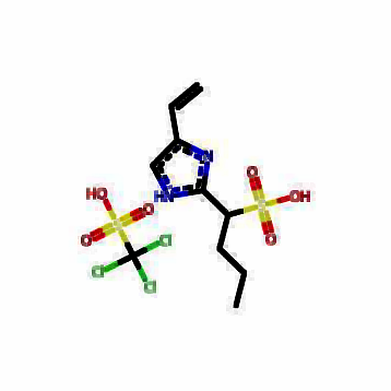 C=Cc1c[nH]c(C(CCC)S(=O)(=O)O)n1.O=S(=O)(O)C(Cl)(Cl)Cl